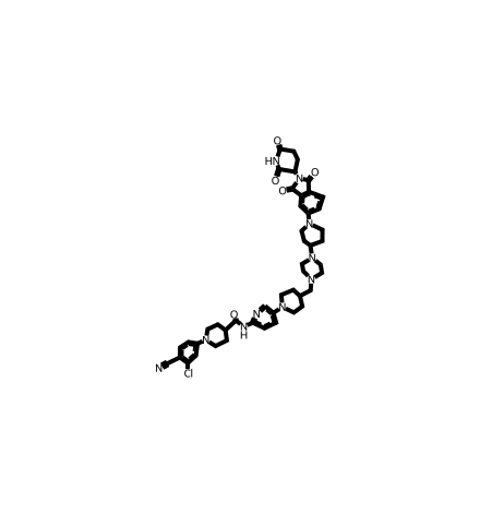 N#Cc1ccc(N2CCC(C(=O)Nc3ccc(N4CCC(CN5CCN(C6CCN(c7ccc8c(c7)C(=O)N(C7CCC(=O)NC7=O)C8=O)CC6)CC5)CC4)cn3)CC2)cc1Cl